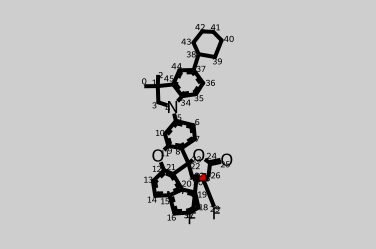 CC1(C)CN(c2ccc3c(c2)Oc2ccc4ccccc4c2C32OC(=O)c3cc(F)c(F)cc32)c2ccc(C3CCCCC3)cc21